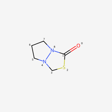 O=C1SCN2CCCN12